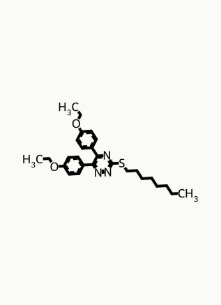 CCCCCCCCSc1nnc(-c2ccc(OCC)cc2)c(-c2ccc(OCC)cc2)n1